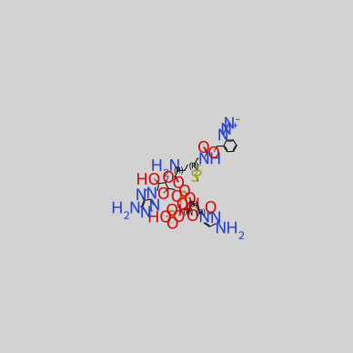 CSS[C@H](CC[C@@H](N)C(=O)OC1C(COP(=O)(O)O[C@H]2C[C@H](n3ccc(N)nc3=O)O[C@@H]2COP(=O)(O)O)OC(n2cnc3c(N)ncnc32)C1O)CNC(=O)OCc1ccccc1N=[N+]=[N-]